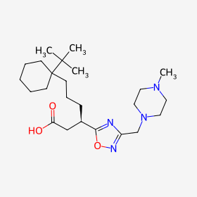 CN1CCN(Cc2noc([C@H](CCCC3(C(C)(C)C)CCCCC3)CC(=O)O)n2)CC1